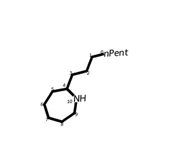 [CH2]CCCCCCCC1CCCCCN1